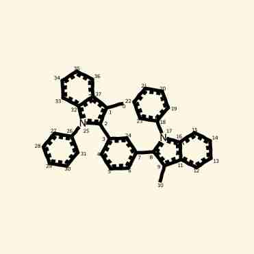 Cc1c(-c2cccc(-c3c(C)c4ccccc4n3-c3ccccc3)c2)n(-c2ccccc2)c2ccccc12